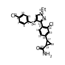 CCn1cc(Sc2ccc(Cl)cc2)c(-c2ccc(C3CC3C(N)=O)cc2Cl)n1